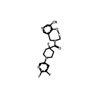 N#Cc1cncc2c1OCCN(C(=O)C1(F)CCN(c3cnc(F)c(F)c3)CC1)C2